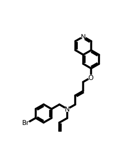 C=CCN(CC=CCOc1ccc2cnccc2c1)Cc1ccc(Br)cc1